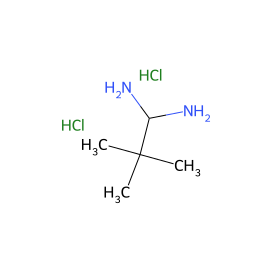 CC(C)(C)C(N)N.Cl.Cl